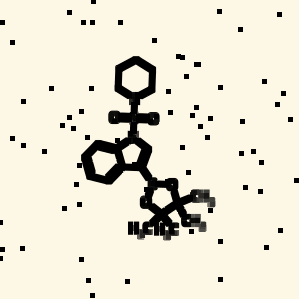 CC1(C)OB(c2cn(S(=O)(=O)N3CCCCC3)c3ccccc23)OC1(C)C